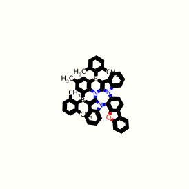 Cc1cc2c3c(c1)B(c1c(C)cccc1C)c1c4ccccc4n4c5c6oc7ccccc7c6ccc5n5c6ccccc6c(c5n-3c14)B2c1c(C)cccc1C